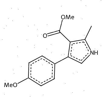 COC(=O)c1c(-c2ccc(OC)cc2)c[nH]c1C